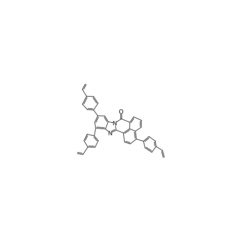 C=Cc1ccc(-c2cc(-c3ccc(C=C)cc3)c3nc4c5ccc(-c6ccc(C=C)cc6)c6cccc(c(=O)n4c3c2)c65)cc1